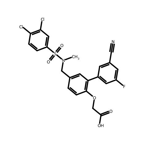 CN(Cc1ccc(OCC(=O)O)c(-c2cc(F)cc(C#N)c2)c1)S(=O)(=O)c1ccc(Cl)c(Cl)c1